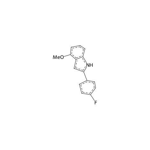 COc1cccc2[nH]c(-c3ccc(F)cc3)cc12